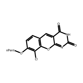 CCCCCOc1ccc2cc3c(=O)[nH]c(=O)nc-3oc2c1Cl